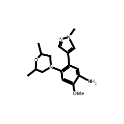 COc1cc(N2CC(C)OC(C)C2)c(-c2cnn(C)c2)cc1N